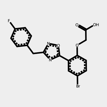 O=C(O)COc1ccc(Br)cc1-c1nc(Cc2ccc(F)cc2)no1